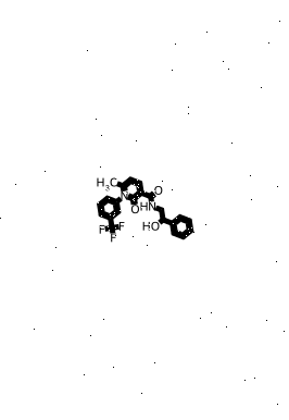 Cc1ccc(C(=O)NCC(O)c2ccccc2)c(=O)n1-c1cccc(C(F)(F)F)c1